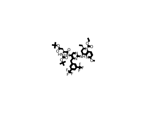 CCOC(=O)N1c2ccc(OC)nc2[C@@H](Nc2ncc(NC(=O)[C@H](CC(=O)OC(C)(C)C)NC(=O)OC(C)(C)C)c(Cc3cc(C(F)(F)F)cc(C(F)(F)F)c3)n2)C[C@H]1CC